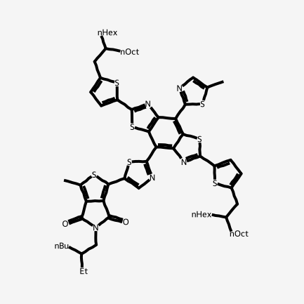 CCCCCCCCC(CCCCCC)Cc1ccc(-c2nc3c(-c4ncc(-c5sc(C)c6c5C(=O)N(CC(CC)CCCC)C6=O)s4)c4sc(-c5ccc(CC(CCCCCC)CCCCCCCC)s5)nc4c(-c4ncc(C)s4)c3s2)s1